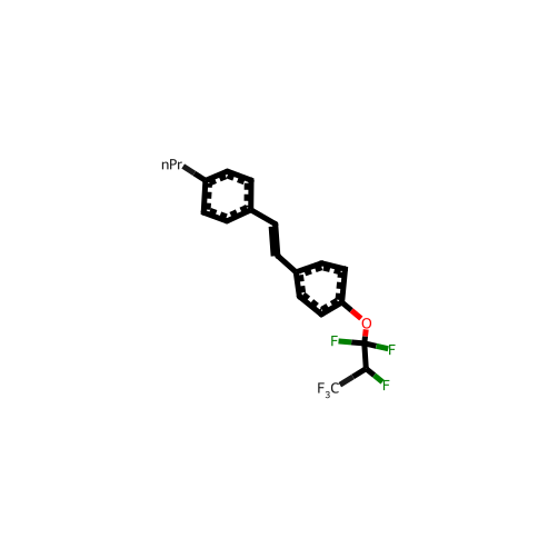 CCCc1ccc(C=Cc2ccc(OC(F)(F)C(F)C(F)(F)F)cc2)cc1